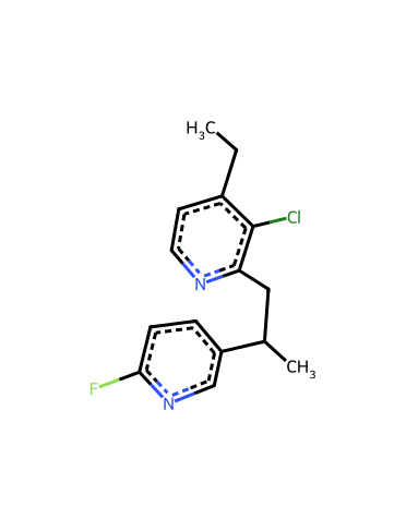 CCc1ccnc(CC(C)c2ccc(F)nc2)c1Cl